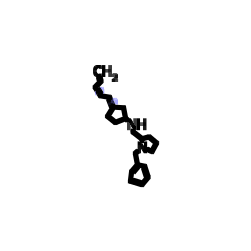 C=C/C=C\C=C1/CCC(NCC2CCCN2Cc2ccccc2)C1